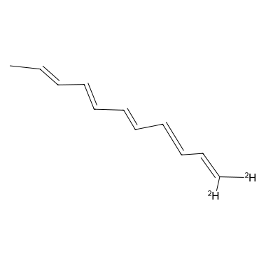 [2H]C([2H])=CC=CC=CC=CC=CC